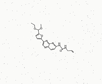 C=CCNC(=O)Nc1ccc2ncc(-c3ccc(C(OC)OCC)o3)nc2n1